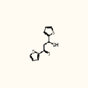 S=C(CC(S)c1cccs1)c1cccs1